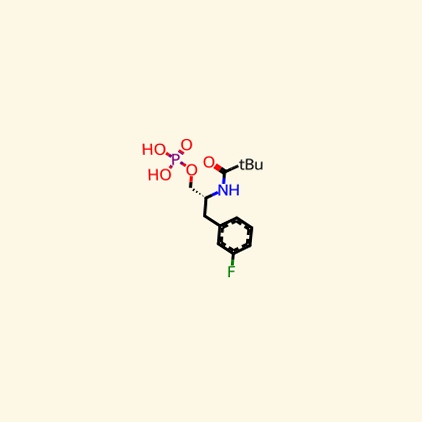 CC(C)(C)C(=O)N[C@@H](COP(=O)(O)O)Cc1cccc(F)c1